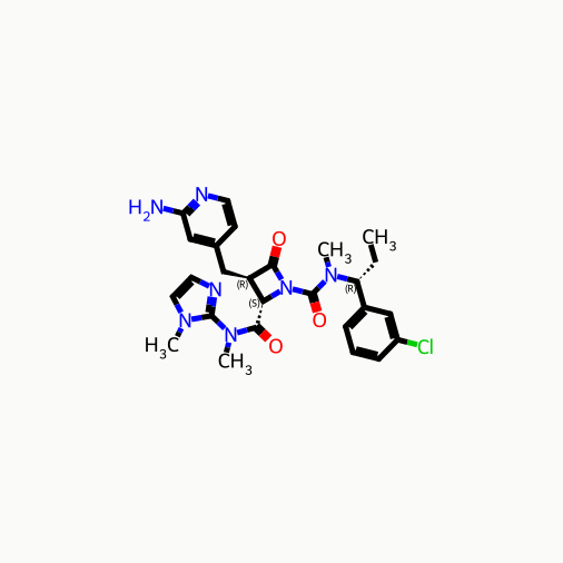 CC[C@H](c1cccc(Cl)c1)N(C)C(=O)N1C(=O)[C@H](Cc2ccnc(N)c2)[C@H]1C(=O)N(C)c1nccn1C